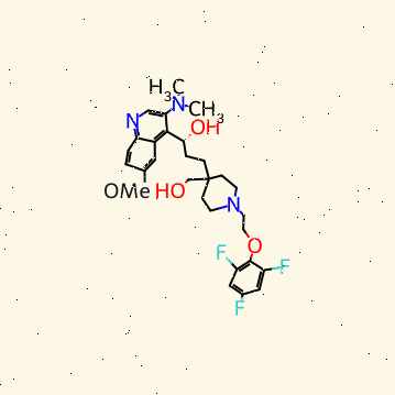 COc1ccc2ncc(N(C)C)c([C@H](O)CCC3(CO)CCN(CCOc4c(F)cc(F)cc4F)CC3)c2c1